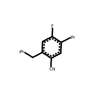 CC(C)Cc1cc(F)c(C(C)C)cc1C#N